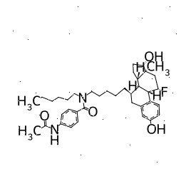 CCCCCCN(CCCCC[C@@H]1Cc2cc(O)ccc2[C@@H]2[C@@H]1[C@@H]1CC[C@H](O)[C@@]1(C)C[C@@H]2F)C(=O)c1ccc(NC(C)=O)cc1